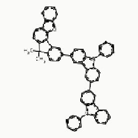 CC1(C)c2ccc(-c3ccc4c(c3)c3cc(-c5ccc6c(c5)c5ccccc5n6-c5ccccc5)ccc3n4-c3ccccc3)cc2-c2c1ccc1c2sc2ccccc21